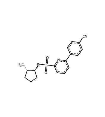 C[C@H]1CCC[C@@H]1NS(=O)(=O)c1cccc(-c2ccc(C#N)cc2)n1